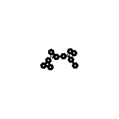 c1ccc(-c2ccc(N(c3ccc(-c4ccc5c(c4)c4ccccc4n5-c4ccc5c6ccccc6c6ccccc6c5c4)cc3)c3cccc4ccccc34)cc2)cc1